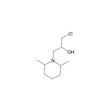 CC1CCCC(C)N1CC(O)CCl